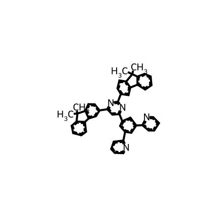 CC1(C)c2ccccc2-c2cc(-c3cc(-c4cc(-c5ccccn5)cc(-c5ccccn5)c4)nc(-c4ccc5c(c4)-c4ccccc4C5(C)C)n3)ccc21